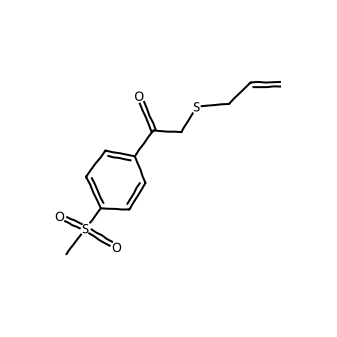 C=CCSCC(=O)c1ccc(S(C)(=O)=O)cc1